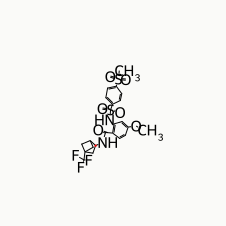 COc1ccc(C(=O)NC2CC3(C(F)(F)F)CC2C3)c(NS(=O)(=O)c2ccc(S(C)(=O)=O)cc2)c1